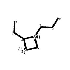 CCC[SiH]1C[SiH2]C1CC